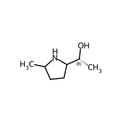 CC1CCC([C@@H](C)O)N1